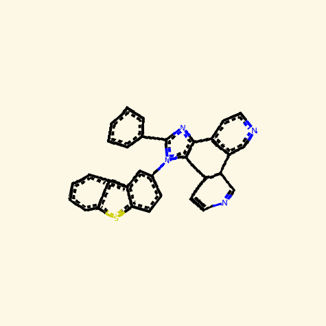 C1=CC2c3c(nc(-c4ccccc4)n3-c3ccc4sc5ccccc5c4c3)-c3ccncc3C2C=N1